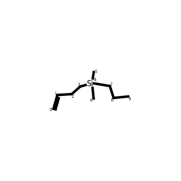 C=CCC[Si](C)(C)CCC